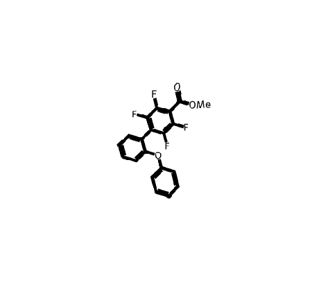 COC(=O)c1c(F)c(F)c(-c2ccccc2Oc2ccccc2)c(F)c1F